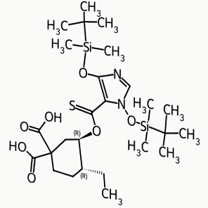 CC[C@@H]1CCC(C(=O)O)(C(=O)O)C[C@H]1OC(=S)c1c(O[Si](C)(C)C(C)(C)C)ncn1O[Si](C)(C)C(C)(C)C